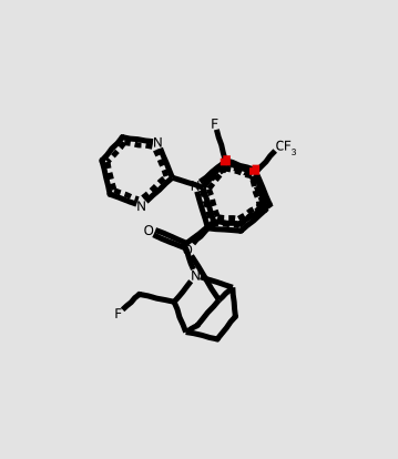 O=C(c1cccc(F)c1-c1ncccn1)N1C(CF)C2CCC1C(Oc1ccc(C(F)(F)F)cn1)C2